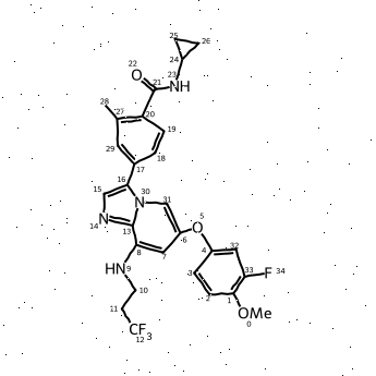 COc1ccc(Oc2cc(NCCC(F)(F)F)c3ncc(-c4ccc(C(=O)NC5CC5)c(C)c4)n3c2)cc1F